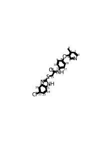 Cc1ccncc1Oc1ccc(NC(=O)CSc2nc3cc(Cl)ccc3[nH]2)cc1